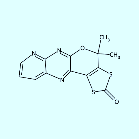 CC1(C)Oc2nc3ncccc3nc2-c2sc(=O)sc21